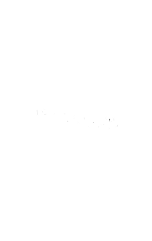 CCCCCCCCCCCC[C]1CCOC1